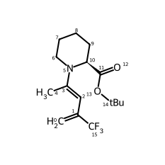 C=C(C=C(C)N1CCCC[C@H]1C(=O)OC(C)(C)C)C(F)(F)F